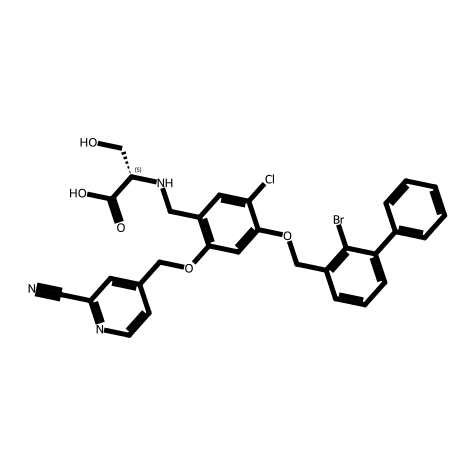 N#Cc1cc(COc2cc(OCc3cccc(-c4ccccc4)c3Br)c(Cl)cc2CN[C@@H](CO)C(=O)O)ccn1